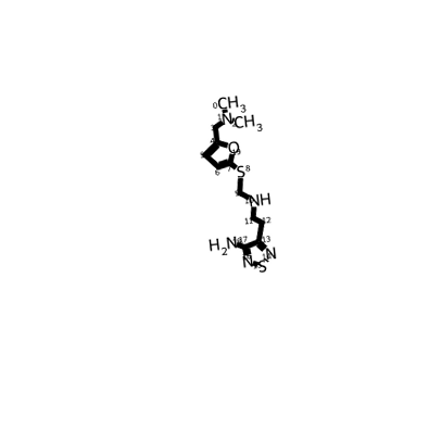 CN(C)Cc1ccc(SCNCCc2nsnc2N)o1